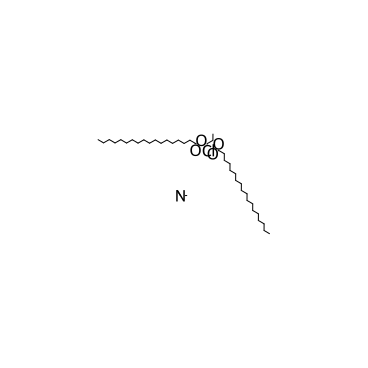 CCCCCCCCCCCCCCCCCC(=O)OC(C)C(Cl)OC(=O)CCCCCCCCCCCCCCCCC.CN(C)C